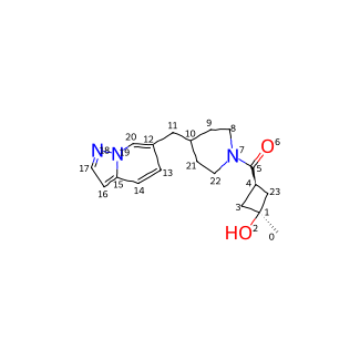 C[C@]1(O)C[C@@H](C(=O)N2CCC(Cc3ccc4ccnn4c3)CC2)C1